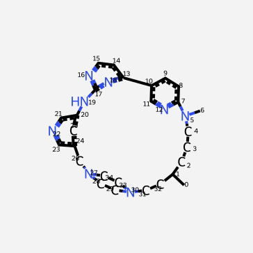 CC1CCCN(C)c2ccc(cn2)-c2ccnc(n2)Nc2cncc(c2)CN2CCN(CC1)CC2